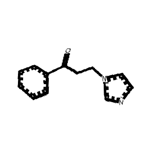 O=C(CCn1ccnc1)c1ccccc1